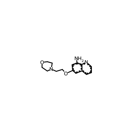 Nc1cc(OCCN2CCOCC2)cc2cccnc12